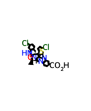 O=C(O)c1ccc2c(c1)nc1n2C[C@H]2[C@@H]1[C@H](c1ccc(Cl)s1)[C@@]1(Cc3ccc(Cl)cc3NC1=O)N2CC1CC1